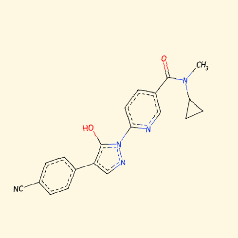 CN(C(=O)c1ccc(-n2ncc(-c3ccc(C#N)cc3)c2O)nc1)C1CC1